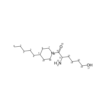 CCCCCC1CCN(C(=O)C(N)CCCCO)CC1